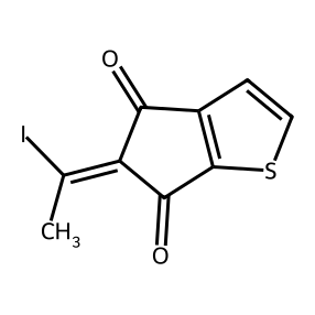 C/C(I)=C1/C(=O)c2ccsc2C1=O